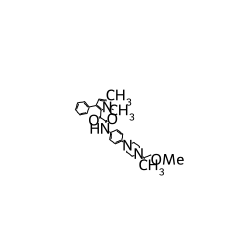 COCC(C)N1CCN(c2ccc(NC(=O)C(=O)c3c(-c4ccccc4)cc(C)n3C)cc2)CC1